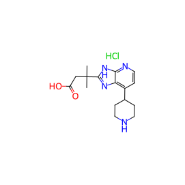 CC(C)(CC(=O)O)c1nc2c(C3CCNCC3)ccnc2[nH]1.Cl